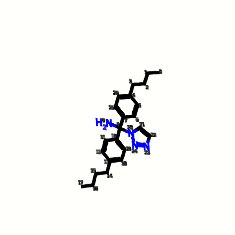 CCCCc1ccc(C(N)(c2ccc(CCCC)cc2)n2ccnn2)cc1